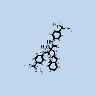 CC(C)c1ccc(NC(=O)C(C)(Cc2cc3ccccc3s2)C(=O)Nc2ccc(C(C)C)cc2)cc1